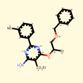 CCOC(=O)c1c(N)nc(-c2cccc(C#N)c2)nc1OC(CC)COCc1ccccc1